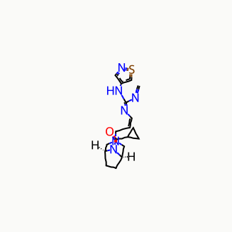 C=N/C(=N\C=C/CN1C[C@H]2CC[C@@H](C1)N2C(=O)C1CC1)Nc1cnsc1